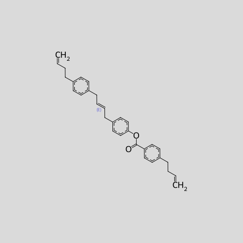 C=CCCc1ccc(C/C=C/Cc2ccc(OC(=O)c3ccc(CCC=C)cc3)cc2)cc1